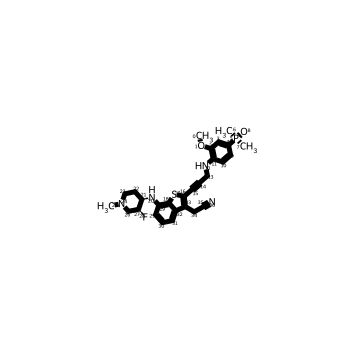 COc1cc(P(C)(C)=O)ccc1NCC#Cc1sc2c(N[C@H]3CCN(C)C[C@H]3F)cccc2c1CC#N